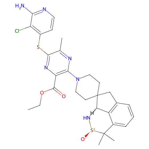 CCOC(=O)c1nc(Sc2ccnc(N)c2Cl)c(C)nc1N1CCC2(CC1)Cc1cccc3c1[C@H]2N[S@+]([O-])C3(C)C